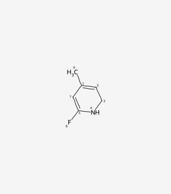 CC1=CCNC(F)=C1